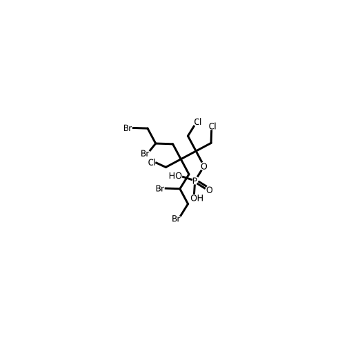 O=P(O)(O)OC(CCl)(CCl)C(CCl)(CC(Br)CBr)CC(Br)CBr